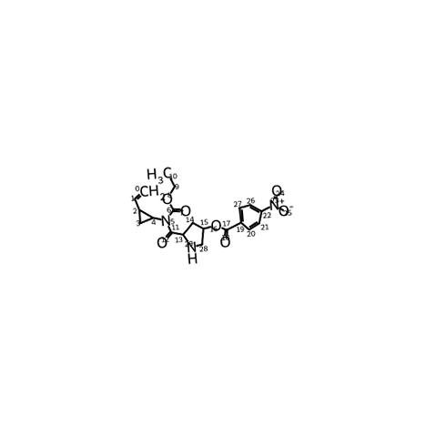 C=CC1CC1N(C(=O)OCC)C(=O)C1CC(OC(=O)c2ccc([N+](=O)[O-])cc2)CN1